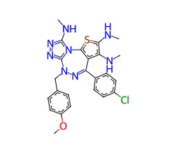 CNc1sc2c(c1NC)C(c1ccc(Cl)cc1)=NN(Cc1ccc(OC)cc1)c1nnc(NC)n1-2